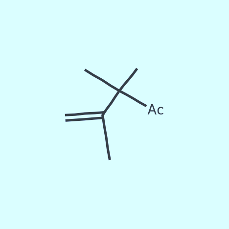 C=C(C)C(C)(C)C(C)=O